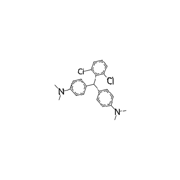 CN(C)c1ccc(C(c2ccc(N(C)C)cc2)c2c(Cl)cccc2Cl)cc1